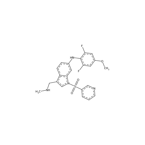 CNCc1cn(S(=O)(=O)c2cccnc2)c2cc(Nc3c(F)cc(OC)cc3F)ccc12